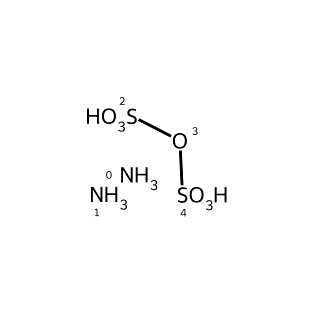 N.N.O=S(=O)(O)OS(=O)(=O)O